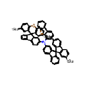 CC(C)(C)c1ccc2c(c1)C1(c3cc(C(C)(C)C)ccc3S2)c2ccccc2-c2ccc(N(c3ccc4c(c3)C3(c5ccccc5-4)c4cc(C(C)(C)C)ccc4-c4ccc(C(C)(C)C)cc43)c3cccc4c3sc3ccccc34)cc21